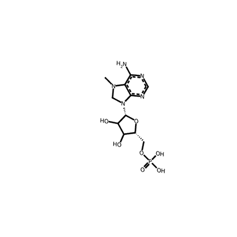 CN1CN([C@@H]2O[C@H](COP(=O)(O)O)C(O)C2O)c2ncnc(N)c21